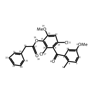 COc1ccc(C)c(C(=O)c2c(Cl)cc(OC)c(OC(=O)Cc3ccccc3)c2Cl)c1